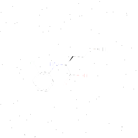 CSCC[C@H](Nc1ccccc1Cl)C(=O)O